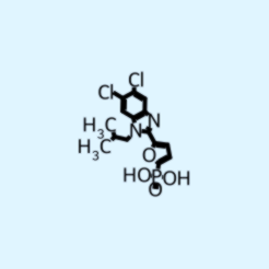 CC(C)Cn1c(-c2ccc(P(=O)(O)O)o2)nc2cc(Cl)c(Cl)cc21